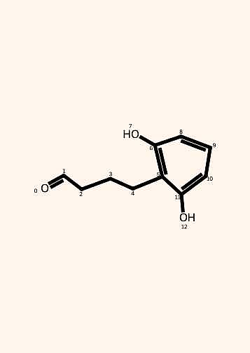 O=CCCCc1c(O)cccc1O